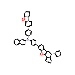 c1ccc(-c2cc3c4ccc(-c5ccc(N(c6ccc(-c7ccc8c(c7)oc7ccccc78)cc6)c6ccc7ccccc7c6)cc5)cc4oc3c3ccccc23)cc1